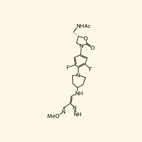 CO/N=C/C(=C/NC1CCN(c2c(F)cc(N3C[C@H](CNC(C)=O)OC3=O)cc2F)CC1)N=N